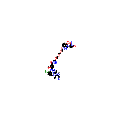 CC[C@@H]1c2c(C#N)ncn2-c2cnc(Nc3ccc(C(=O)NCCOCCOCCOCC(=O)Nc4cccc5c4CN(C4CCC(=O)NC4=O)C5=O)cc3OC)nc2N1Cc1ccc(Br)cc1